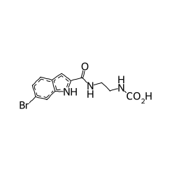 O=C(O)NCCNC(=O)c1cc2ccc(Br)cc2[nH]1